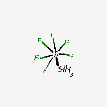 [F][Ti]([F])([F])([F])([F])([F])[SiH3]